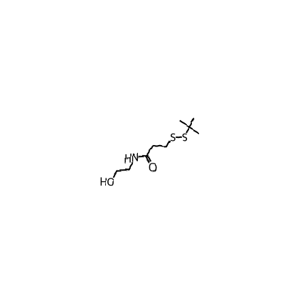 CC(C)(C)SSCCC(=O)NCCO